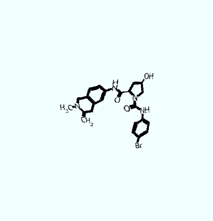 C=C1Cc2cc(NC(=O)[C@H]3C[C@@H](O)CN3C(=O)Nc3ccc(Br)cc3)ccc2CN1C